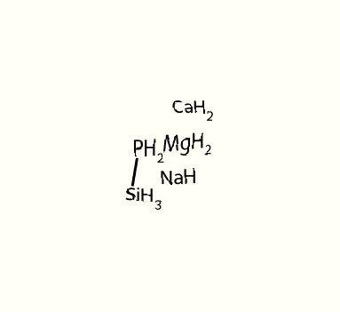 [CaH2].[MgH2].[NaH].[SiH3]P